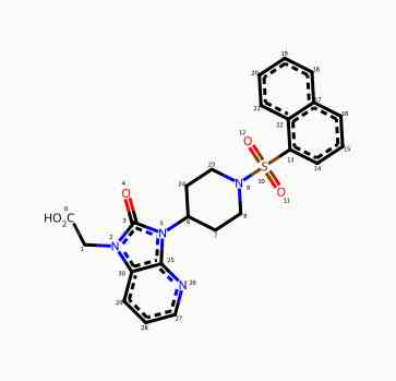 O=C(O)Cn1c(=O)n(C2CCN(S(=O)(=O)c3cccc4ccccc34)CC2)c2ncccc21